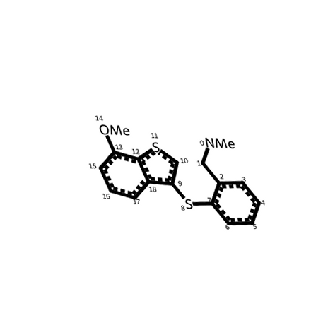 CNCc1ccccc1Sc1csc2c(OC)cccc12